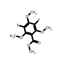 COC(=O)c1c(OC)c(F)c(OC)c(F)c1OC